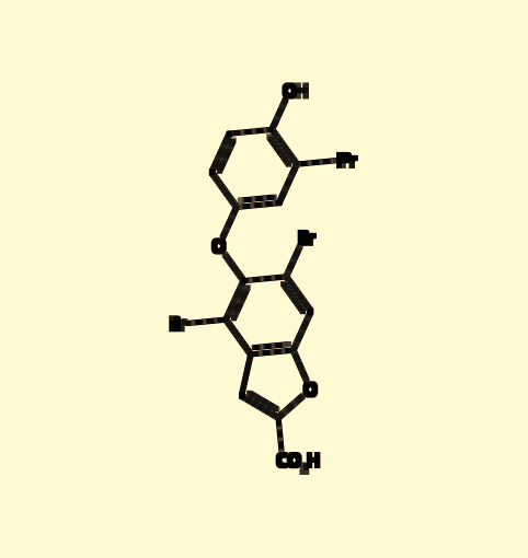 CC(C)c1cc(Oc2c(Br)cc3oc(C(=O)O)cc3c2Br)ccc1O